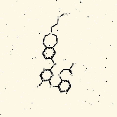 COCCN1CCc2ccc(Nc3ncc(Cl)c(Nc4ccccc4OCC(=O)O)n3)cc2CC1